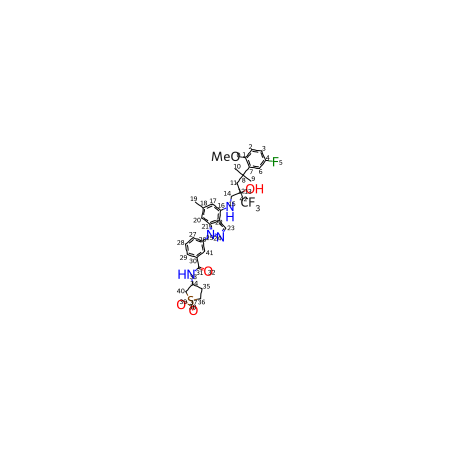 COc1ccc(F)cc1C(C)(C)CC(O)(CNc1cc(C)cc2c1cnn2-c1cccc(C(=O)NC2CCS(=O)(=O)C2)c1)C(F)(F)F